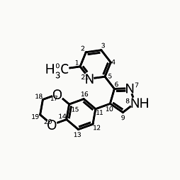 Cc1cccc(-c2n[nH]cc2-c2ccc3c(c2)OCCO3)n1